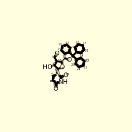 O=CC1[C@@H](O)[C@H](n2ccc(=O)[nH]c2=O)O[C@@H]1COC(c1ccccc1)(c1ccccc1)c1ccccc1